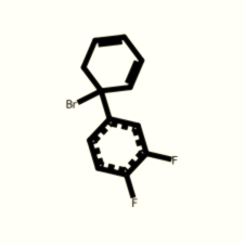 Fc1ccc(C2(Br)C=CC=CC2)cc1F